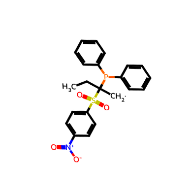 [CH2]C(CC)(P(c1ccccc1)c1ccccc1)S(=O)(=O)c1ccc([N+](=O)[O-])cc1